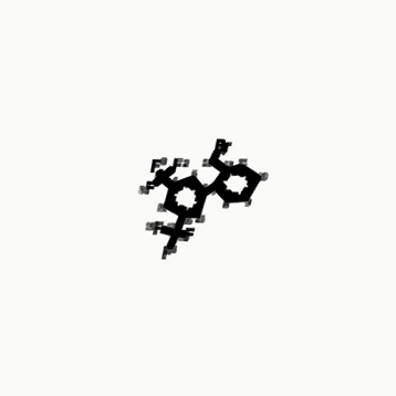 FC(F)(F)c1cc(-c2ccccc2CBr)cc(C(F)(F)F)c1